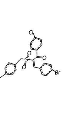 Cc1ccc(CS(=O)(=O)C(=Cc2ccc(Br)cc2)C(=O)c2ccc(Cl)cc2)cc1